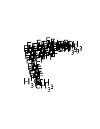 CN(C)C.CN(C)C.CN(C)C.Fc1c(F)c(F)c(-c2c(F)c(F)c(F)c(F)c2F)c(F)c1F.Fc1c(F)c(F)c(-c2c(F)c(F)c(F)c(F)c2F)c(F)c1F.Fc1c(F)c(F)c(-c2c(F)c(F)c(F)c(F)c2F)c(F)c1F.Fc1c(F)c(F)c(-c2c(F)c(F)c(F)c(F)c2F)c(F)c1F.OB(O)O